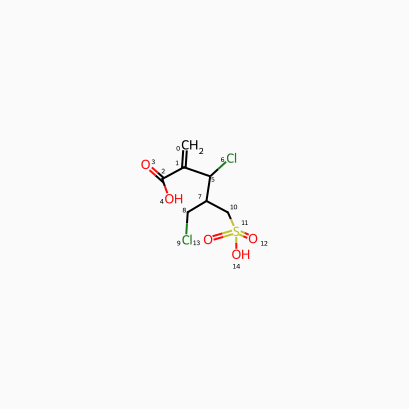 C=C(C(=O)O)C(Cl)C(CCl)CS(=O)(=O)O